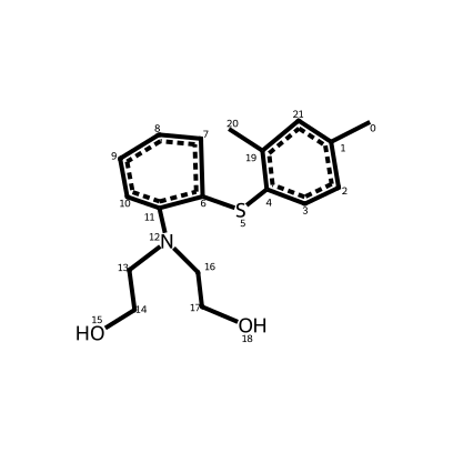 Cc1ccc(Sc2ccccc2N(CCO)CCO)c(C)c1